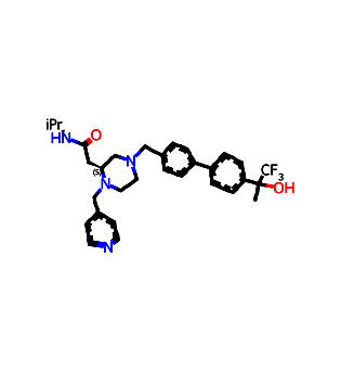 CC(C)NC(=O)C[C@H]1CN(Cc2ccc(-c3ccc(C(C)(O)C(F)(F)F)cc3)cc2)CCN1Cc1ccncc1